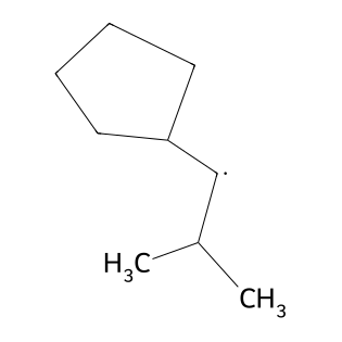 CC(C)[CH]C1CCCC1